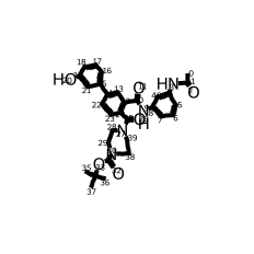 CC(=O)Nc1cccc(NC(=O)c2cc(-c3cccc(O)c3)ccc2C(=O)N2CCN(C(=O)OC(C)(C)C)CC2)c1